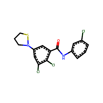 O=C(Nc1cccc(Cl)c1)c1cc(N2CCCS2)cc(Cl)c1Cl